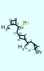 CC(CC1CC1(F)C(C)C)C1CC(CC(SS)C2CCC2C)C1